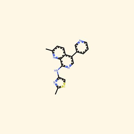 Cc1ccc2c(-c3cccnc3)cnc(Nc3csc(C)n3)c2n1